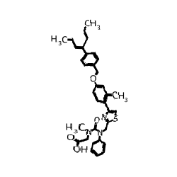 CCCC(CCC)c1ccc(COc2ccc(-c3csc(CN(C(=O)N(C)CC(=O)O)c4ccccc4)n3)c(C)c2)cc1